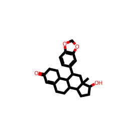 CC12CC(c3ccc4c(c3)OCO4)C3C4CCC(=O)C=C4CCC3C1CCC2O